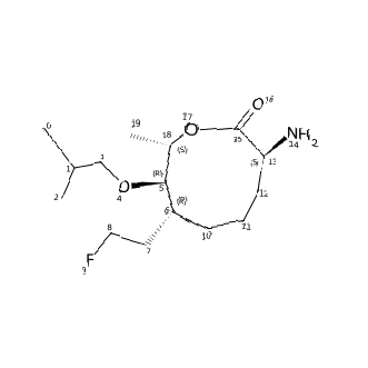 CC(C)CO[C@@H]1[C@@H](CCF)CCC[C@H](N)C(=O)O[C@H]1C